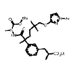 CCOC(=O)C(C)Cc1cccc(C(C)(CCC(C)(C)COc2ccn(C(C)=O)n2)C(=O)NN(C)C(=O)OC(C)(C)C)c1